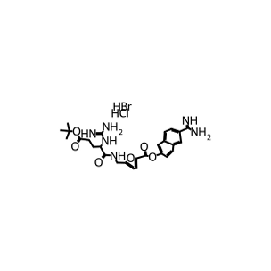 Br.CC(C)(C)OC(=O)CCC(NC(=N)N)C(=O)NCc1ccc(C(=O)Oc2ccc3cc(C(=N)N)ccc3c2)o1.Cl